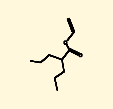 C=COC(=O)C(CCC)CCC